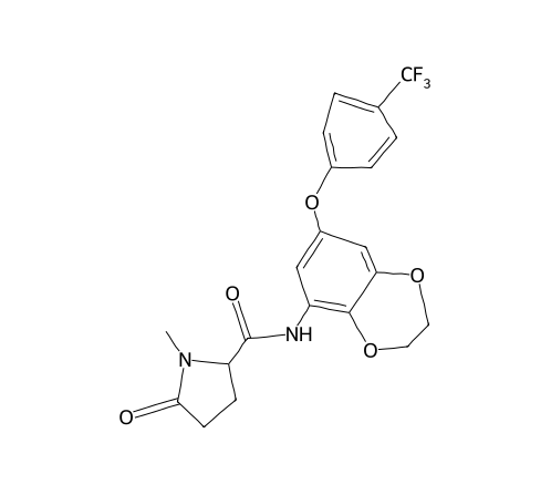 CN1C(=O)CCC1C(=O)Nc1cc(Oc2ccc(C(F)(F)F)cc2)cc2c1OCCO2